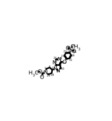 COC(=O)N1CCC(n2ncc3c(Oc4ccc(S(C)(=O)=O)cc4)ncnc32)CC1